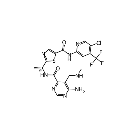 CNCc1c(N)ncnc1C(=O)N[C@@H](C)c1ncc(C(=O)Nc2cc(C(F)(F)F)c(Cl)cn2)s1